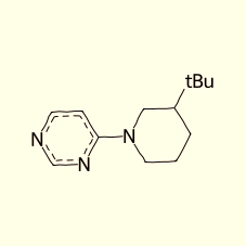 CC(C)(C)C1CCCN(c2ccncn2)C1